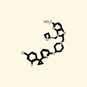 O=C(O)c1ccc2nc(CN3CCC(Oc4cccc(C5(c6ccc(Cl)cc6F)CC5)n4)CC3)n(C[C@@H]3CCO3)c2n1